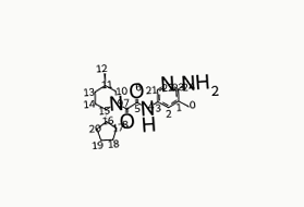 Cc1cc(NC(=O)C(=O)N2C[C@H](C)CC[C@H]2C2CCCC2)cnc1N